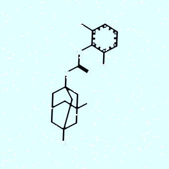 CC12CC3CC(C)(C1)CC(NC(=O)Nc1c(Cl)cccc1Cl)(C3)C2